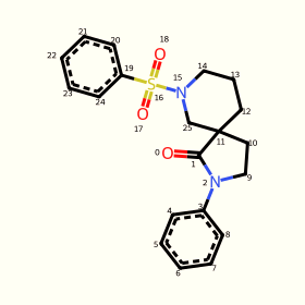 O=C1N(c2ccccc2)CCC12CCCN(S(=O)(=O)c1ccccc1)C2